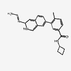 Cc1ccc(C(=O)NC2CCC2)cc1-c1ccc2c(c1)=CNC(N=NN)C=2